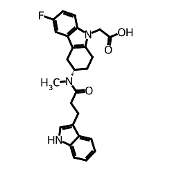 CN(C(=O)CCc1c[nH]c2ccccc12)[C@H]1CCc2c(c3cc(F)ccc3n2CC(=O)O)C1